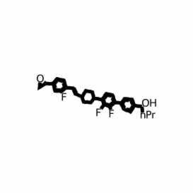 CCCC(O)c1ccc(-c2ccc(C3CCC(/C=C/c4ccc(C5CO5)cc4F)CC3)c(F)c2F)cc1